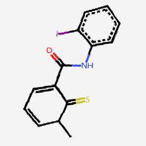 CC1C=CC=C(C(=O)Nc2ccccc2I)C1=S